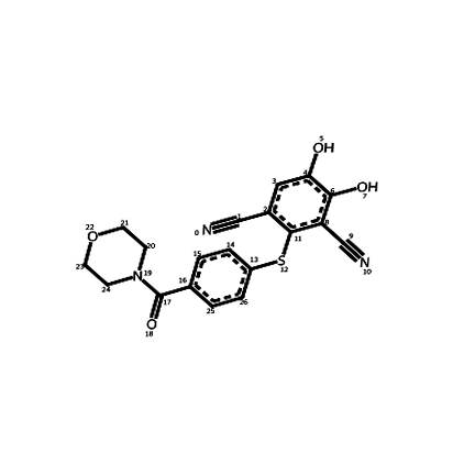 N#Cc1cc(O)c(O)c(C#N)c1Sc1ccc(C(=O)N2CCOCC2)cc1